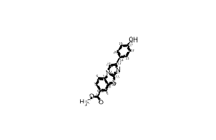 COC(=O)c1ccc2c(c1)sc1nc(-c3ccc(O)cc3)cn12